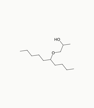 CCCCCC(CCCC)OCC(C)O